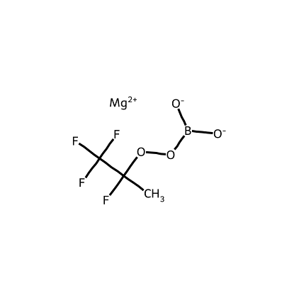 CC(F)(OOB([O-])[O-])C(F)(F)F.[Mg+2]